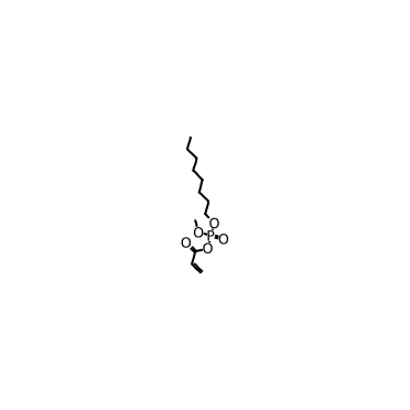 C=CC(=O)OP(=O)(OC)OCCCCCCCC